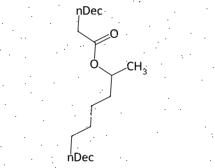 CCCCCCCCCCCCCCC(C)OC(=O)CCCCCCCCCCC